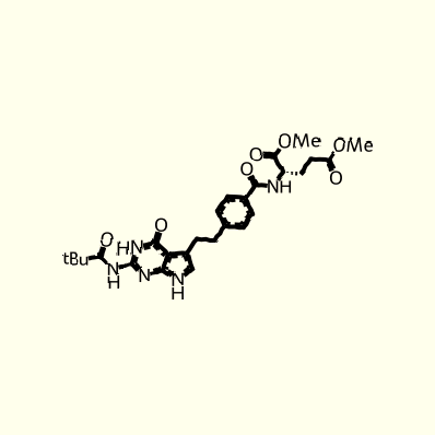 COC(=O)CC[C@H](NC(=O)c1ccc(CCc2c[nH]c3nc(NC(=O)C(C)(C)C)[nH]c(=O)c23)cc1)C(=O)OC